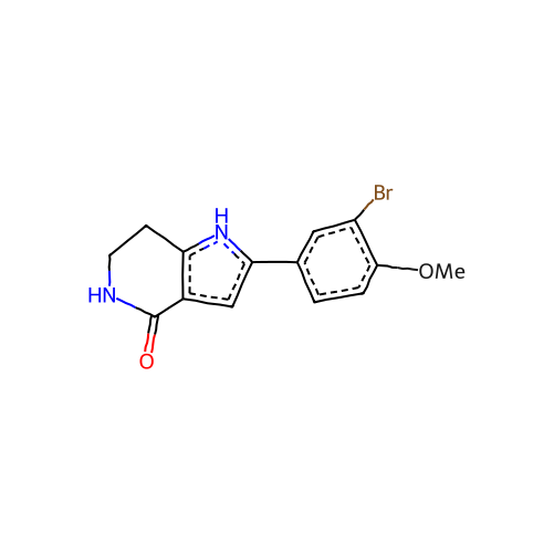 COc1ccc(-c2cc3c([nH]2)CCNC3=O)cc1Br